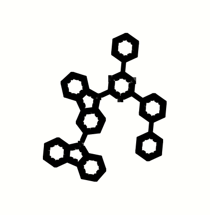 c1ccc(-c2cccc(-c3nc(-c4ccccc4)nc(-n4c5ccccc5c5cc(-n6c7ccccc7c7ccccc76)ccc54)n3)c2)cc1